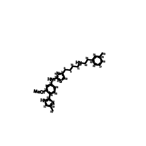 COc1cc(Nc2nc(CCCCNCCc3cccc(C)c3)cs2)ccc1-c1nc(C)c[nH]1